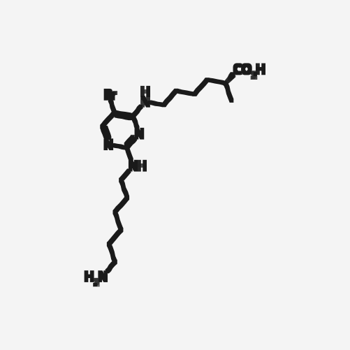 C[C@@H](CCCCNc1nc(NCCCCCCN)ncc1Br)C(=O)O